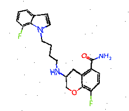 NC(=O)c1ccc(F)c2c1CC(NCCCCn1ccc3cccc(F)c31)CO2